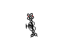 Cc1ccc2c(c1)c1c(n2-c2ccc(S(=O)(=O)C3=CC=C(S(=O)(=O)c4ccc(N5c6ccccc6C(c6ccccc6)(C6C=CC=CC6)c6ccccc65)cc4)NN3)cc2)C=CC(C)C1